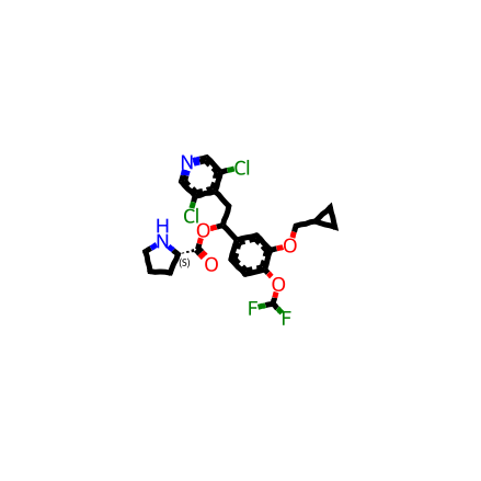 O=C(OC(Cc1c(Cl)cncc1Cl)c1ccc(OC(F)F)c(OCC2CC2)c1)[C@@H]1CCCN1